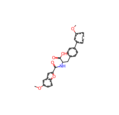 COc1cccc(-c2ccc(CC(NC(=O)c3cc4cc(OC)ccc4o3)C(=O)O)cc2)c1